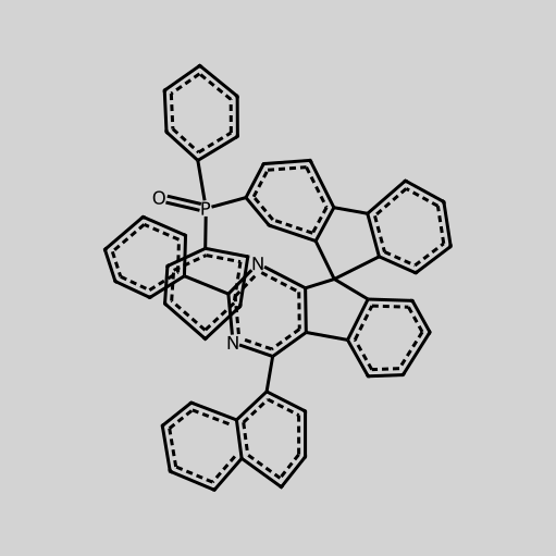 O=P(c1ccccc1)(c1ccccc1)c1ccc2c(c1)C1(c3ccccc3-2)c2ccccc2-c2c(-c3cccc4ccccc34)nc(-c3ccccc3)nc21